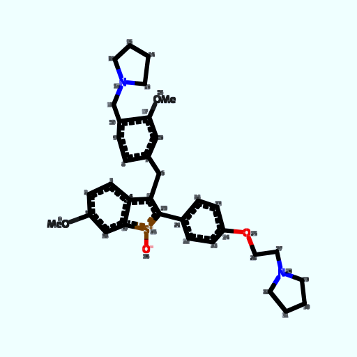 COc1ccc2c(Cc3ccc(CN4CCCC4)c(OC)c3)c(-c3ccc(OCCN4CCCC4)cc3)[s+]([O-])c2c1